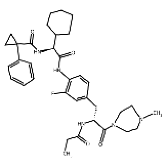 CCC(=O)N[C@H](Cc1ccc(NC(=O)[C@@H](NC(=O)C2(c3ccccc3)CC2)C2CCCCC2)c(F)c1)C(=O)N1CCN(C)CC1